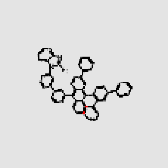 CCc1nc2ccccc2n1-c1cccc(-c2cccc(-c3c4ccccc4c(-c4ccc(-c5ccccc5)cc4-c4ccccc4)c4cc(-c5ccccc5)ccc34)c2)c1